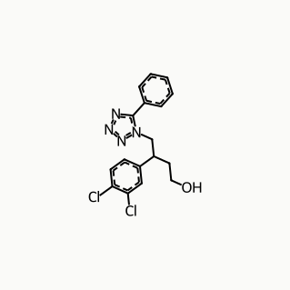 OCCC(Cn1nnnc1-c1ccccc1)c1ccc(Cl)c(Cl)c1